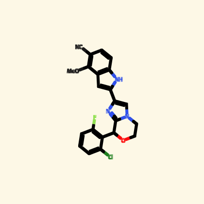 COc1c(C#N)ccc2[nH]c(-c3cn4c(n3)C(c3c(F)cccc3Cl)OCC4)cc12